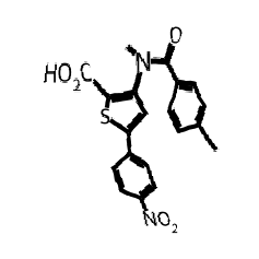 Cc1ccc(C(=O)N(C)c2cc(-c3ccc([N+](=O)[O-])cc3)sc2C(=O)O)cc1